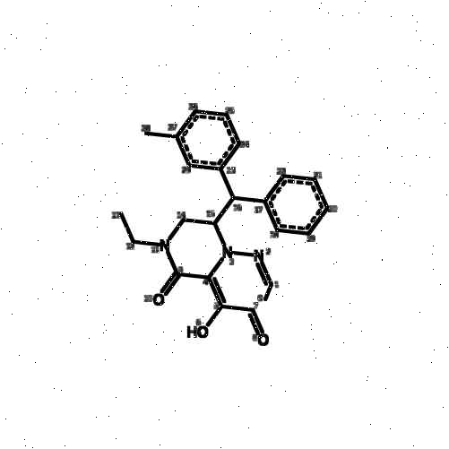 C/C=N\N1/C(=C(/O)C=O)C(=O)N(CC)CC1C(c1ccccc1)c1cccc(C)c1